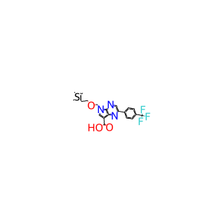 C[Si](C)(C)CCOCn1cc(C(=O)O)c2nc(-c3ccc(C(F)(F)F)cc3)cnc21